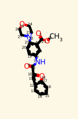 COC(=O)c1cc(NC(=O)c2cc3ccccc3o2)ccc1N1CCOCC1